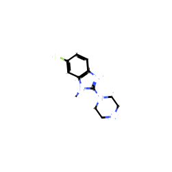 Cn1c(N2CCNCC2)nc2ccc(F)cc21